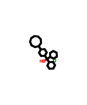 OC(C1CCCCC1)(C1CCC(C2CCCCCCCC2)CC1)C1CCCCC1Cl